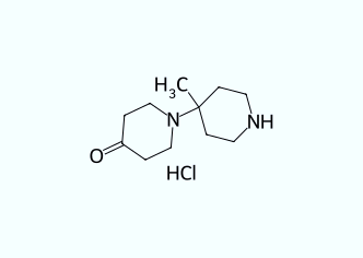 CC1(N2CCC(=O)CC2)CCNCC1.Cl